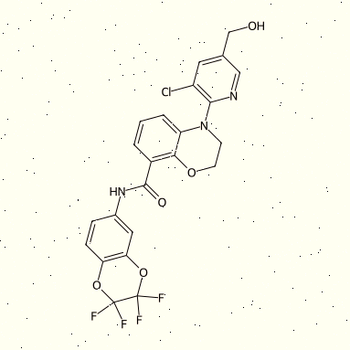 O=C(Nc1ccc2c(c1)OC(F)(F)C(F)(F)O2)c1cccc2c1OCCN2c1ncc(CO)cc1Cl